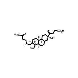 COC(=O)CC[C@@H](C)[C@H]1CC[C@H]2[C@@H]3CCC4C[C@@](O)(C(=O)CCC(=O)O)CC[C@]4(C)[C@H]3CC[C@]12C